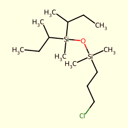 CCC(C)[Si](C)(O[Si](C)(C)CCCCl)C(C)CC